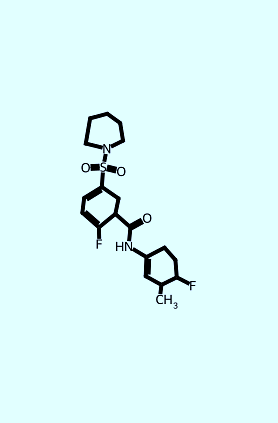 CC1C=C(NC(=O)C2CC(S(=O)(=O)N3CCCCC3)=CC=C2F)CCC1F